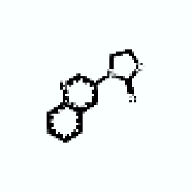 O=C1OCCN1c1cnc2ccccc2c1